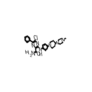 CN1CCN(C2CCN(c3ccc(Nc4nc(Cl)c(-c5ccccc5)nc4C(N)=O)cc3)CC2)CC1